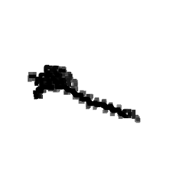 CCCCCCCCCCCCCCCCCCP(O)(O)(CCC#N)N(C(C)C)C(C)C